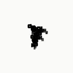 C[C@@H](C(N)=O)N(c1nc(N)c(C(=O)c2ccc(OC(F)F)cc2)s1)c1ccc(Cl)cc1F